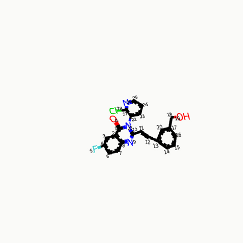 O=c1c2cc(F)ccc2nc(C=Cc2cccc(CO)c2)n1-c1cccnc1Cl